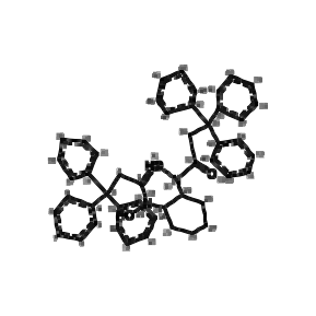 O=C(CC(c1ccccc1)(c1ccccc1)c1ccccc1)N(O)C1CCCCC1N(O)C(=O)CC(c1ccccc1)(c1ccccc1)c1ccccc1